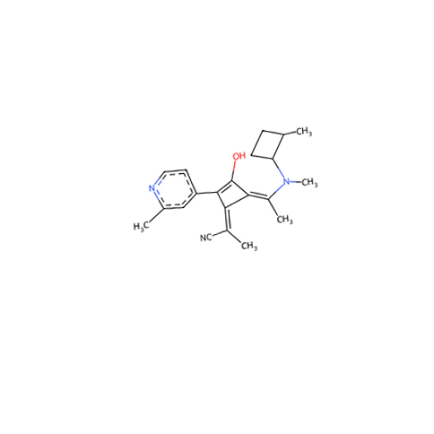 C/C(C#N)=C1C(c2ccnc(C)c2)=C(O)C/1=C(/C)N(C)C1CCC1C